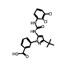 CC(C)(C)c1cc(NC(=O)Nc2cccc(Cl)c2Cl)n(-c2cccc(C(=O)O)c2)n1